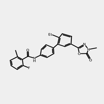 CCc1ccc(-c2nn(C)c(=O)o2)cc1-c1ccc(NC(=O)c2c(C)cccc2F)cc1